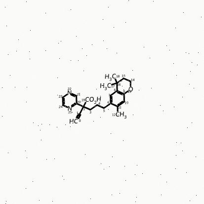 C#CC(CCCc1cc2c(cc1C)OCCC2(C)C)(C(=O)O)c1cnccn1